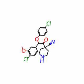 COc1cc(C(Oc2ccc(Cl)cc2)C(=O)C2(C#N)CCNCC2)ccc1Cl